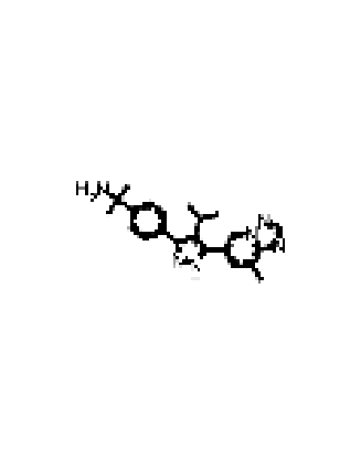 Cc1cc(-c2[nH]nc(-c3ccc(C(C)(C)N)cc3)c2C(C)C)cn2ncnc12